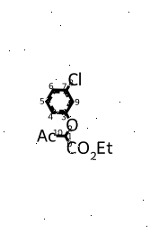 CCOC(=O)C(Oc1cccc(Cl)c1)C(C)=O